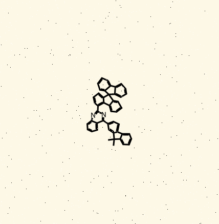 CC1(C)c2ccccc2-c2ccc(-c3nc(-c4cccc5c4-c4ccccc4C54c5ccccc5-c5ccccc54)nc4ccccc34)cc21